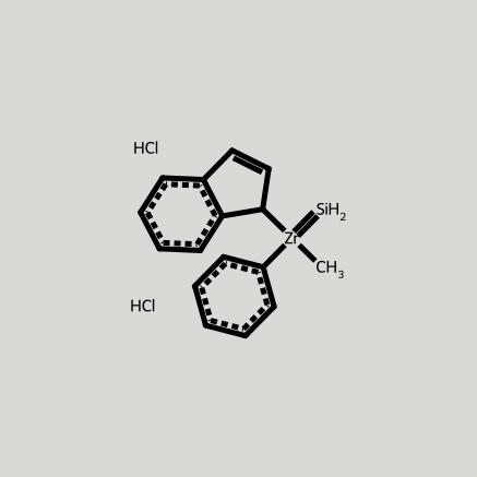 Cl.Cl.[CH3][Zr](=[SiH2])([c]1ccccc1)[CH]1C=Cc2ccccc21